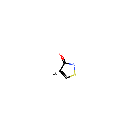 O=c1ccs[nH]1.[Cu]